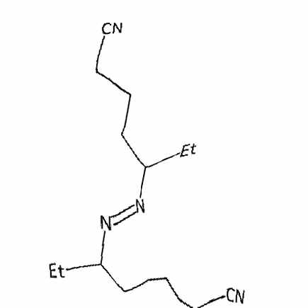 CCC(CCCC#N)N=NC(CC)CCCC#N